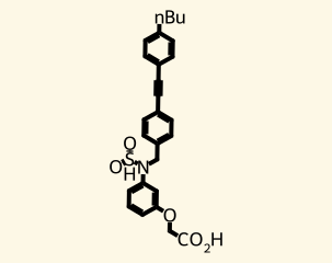 CCCCc1ccc(C#Cc2ccc(CN(c3cccc(OCC(=O)O)c3)[SH](=O)=O)cc2)cc1